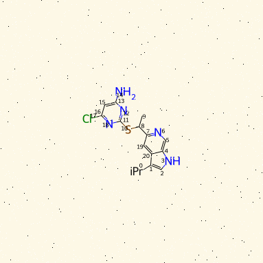 CC(C)c1c[nH]c2cnc(C(C)Sc3nc(N)cc(Cl)n3)cc12